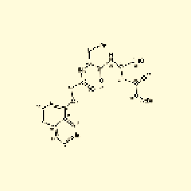 CC(C)C[C@H](NC(=O)COc1cccc2ccccc12)C(=O)N[C@H](C=O)CC(=O)OC(C)(C)C